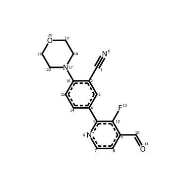 N#Cc1cc(-c2nccc(C=O)c2F)ccc1N1CCOCC1